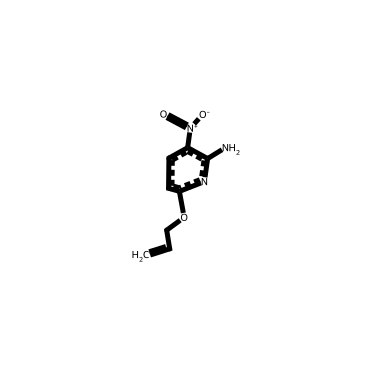 C=CCOc1ccc([N+](=O)[O-])c(N)n1